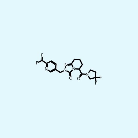 O=C(C1CCCc2nn(Cc3ccc(C(F)F)nc3)c(=O)n21)N1CCC(F)(F)C1